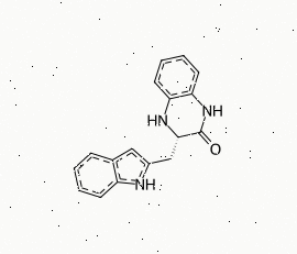 O=C1Nc2ccccc2N[C@H]1Cc1cc2ccccc2[nH]1